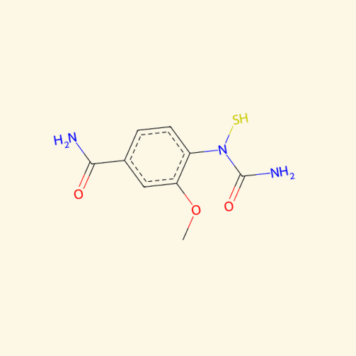 COc1cc(C(N)=O)ccc1N(S)C(N)=O